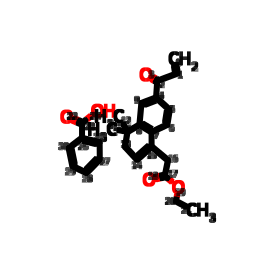 C=CC(=O)c1ccc2c(c1)C(C)(C)CC=C2CC(=O)OCC.O=C(O)c1ccccc1